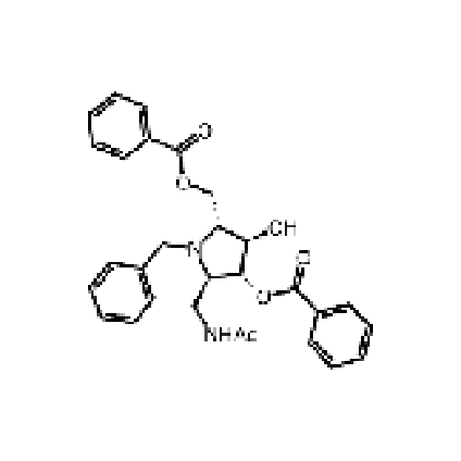 CC(=O)NC[C@@H]1[C@@H](OC(=O)c2ccccc2)[C@H](O)[C@@H](COC(=O)c2ccccc2)N1Cc1ccccc1